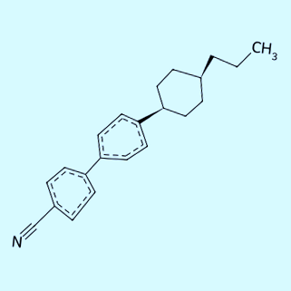 CCC[C@H]1CC[C@@H](c2ccc(-c3ccc(C#N)cc3)cc2)CC1